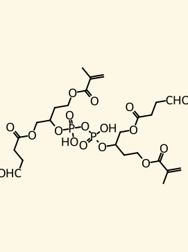 C=C(C)C(=O)OCCC(COC(=O)CCC=O)OP(=O)(O)OP(=O)(O)OC(CCOC(=O)C(=C)C)COC(=O)CCC=O